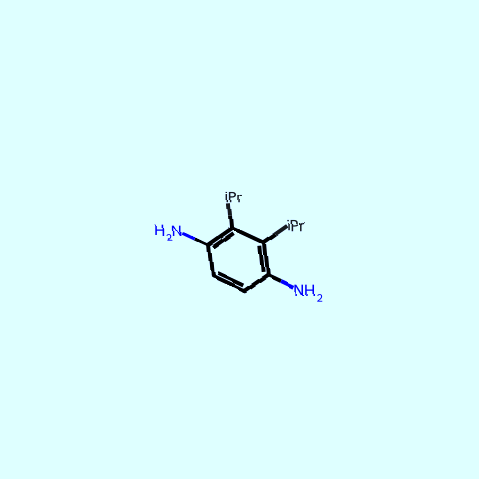 CC(C)c1c(N)ccc(N)c1C(C)C